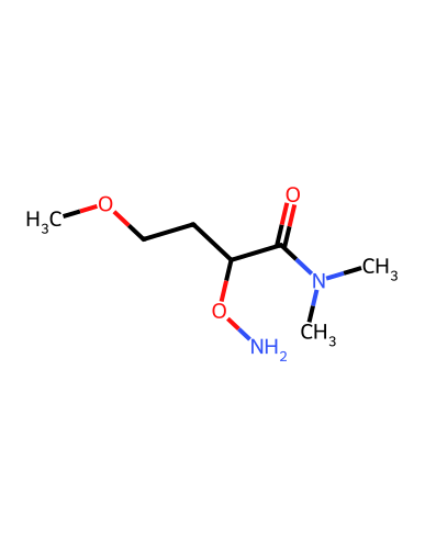 COCCC(ON)C(=O)N(C)C